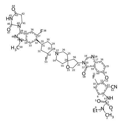 CCN(C)S(=O)(=O)Nc1ccc(F)c(Oc2ccc3ncn(C4COC5(CCN([C@H]6CC[C@H](c7cc8c(cc7F)c(N7CCC(=O)NC7=O)nn8C)CC6F)CC5)C4)c(=O)c3c2)c1C#N